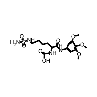 COc1cc(NC(=O)C(CCCCNS(N)(=O)=O)NC(=O)O)cc(OC)c1OC